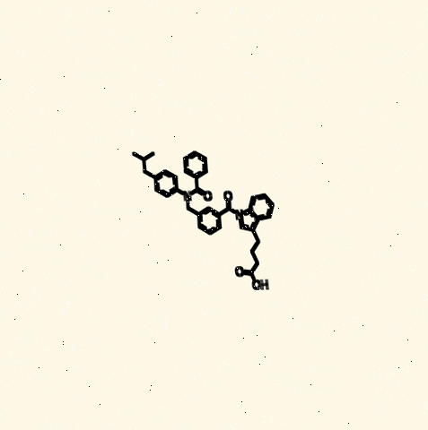 CC(C)Cc1ccc(N(Cc2cccc(C(=O)n3cc(CCCC(=O)O)c4ccccc43)c2)C(=O)c2ccccc2)cc1